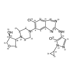 CC1CN(c2cc3nc(Nc4cnn(C5CC5)c4Cl)ncc3cc2Cl)CCN1C1COC[C@H]1O